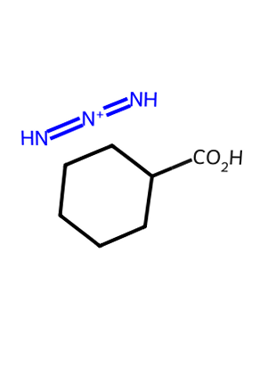 N=[N+]=N.O=C(O)C1CCCCC1